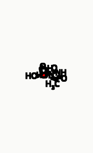 Cc1cn([C@@H]2O[C@]3(CO)CO[C@H]2[C@@H]3O)c(=O)[nH]c1=O